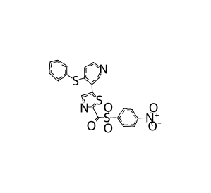 O=C(c1ncc(-c2cnccc2Sc2ccccc2)s1)S(=O)(=O)c1ccc([N+](=O)[O-])cc1